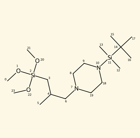 CO[Si](CC(C)CN1CCN([Si](C)(C)C(C)(C)C)CC1)(OC)OC